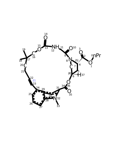 CCCOC(=O)[C@@H]1C[C@@H]2CN1C(=O)CNC(=O)OCC(C)(C)CC/C=C/c1cccc3c1cc(n3C)C(=O)O2